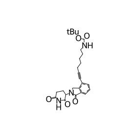 CC(C)(C)OC(=O)NCCCCCC#Cc1cccc2c1CN(C1CCC(=O)NC1=O)C2=O